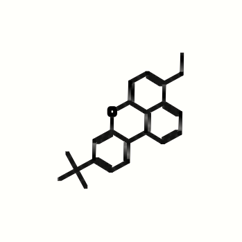 CCc1ccc2c3c(cccc13)-c1ccc(C(C)(C)C)cc1O2